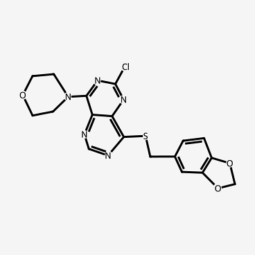 Clc1nc(N2CCOCC2)c2ncnc(SCc3ccc4c(c3)OCO4)c2n1